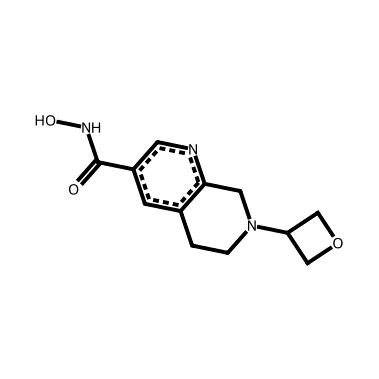 O=C(NO)c1cnc2c(c1)CCN(C1COC1)C2